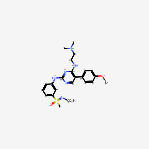 CCOC(=O)N=S(C)(=O)c1cccc(Nc2ncc(-c3ccc(OCC)cc3)c(NCCN(C)C)n2)c1